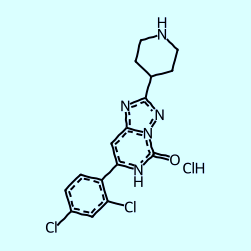 Cl.O=c1[nH]c(-c2ccc(Cl)cc2Cl)cc2nc(C3CCNCC3)nn12